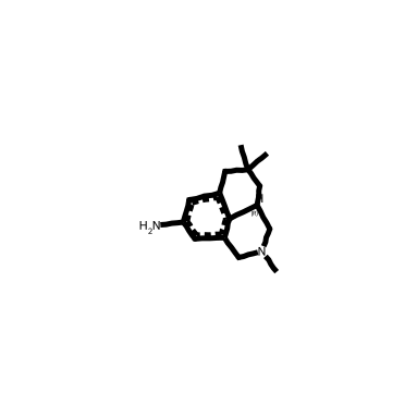 CN1Cc2cc(N)cc3c2[C@H](C1)CC(C)(C)C3